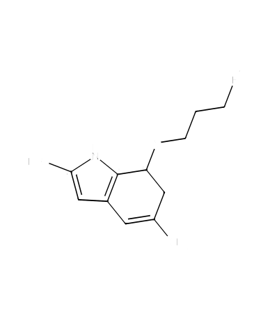 CC1=Cc2cc(C)[nH]c2C(SCCCF)C1